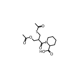 CC(=O)OCC(CSC(C)=O)C(=O)N1CCCCC1C(=O)O